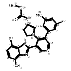 Cc1ccc(F)c2[nH]c(-c3cncc(-c4cc(F)cc(C#N)c4)c3N3CC[C@H](NC(=O)OC(C)(C)C)C3)nc12